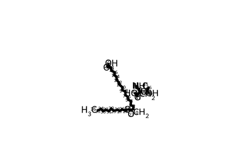 C=C(CCCCCCCCCCCCCCCCCC(=O)O)C(=O)OCCCCCCCCCCCC.C=C(CCN)C(=O)O.C=CC(=O)O